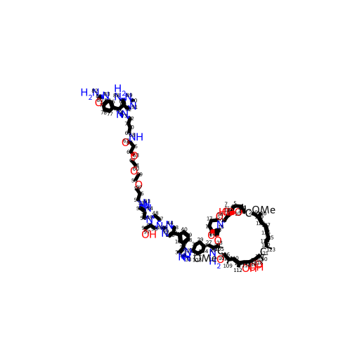 CO[C@H]1C[C@@H]2CC[C@@H](C)[C@@](O)(O2)C(=O)C(=O)N2CCCC[C@H]2C(=O)O[C@H]([C@H](N)C[C@@H]2CCC(n3nncc3-c3cccc(-c4cnc(N5CCN(Cc6cn(CCCOCCOCCOCCC(=O)NCCCCn7nc(-c8ccc9oc(N)nc9c8)c8c(N)ncnc87)nn6)C(CO)C5)nc4)c3)[C@H](OC)C2)CC(=O)[C@H](C)/C=C(\C)[C@@H](O)[C@@H](O)C(=O)[C@H](C)C[C@H](C)/C=C/C=C/C=C/1C